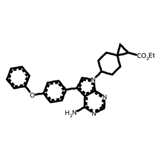 CCOC(=O)C1CC12CCC(n1cc(-c3ccc(Oc4ccccc4)cc3)c3c(N)ncnc31)CC2